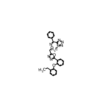 CCc1ccccc1Oc1ccccc1-c1nnc(CO/N=C(/c2ccccc2)c2nnnn2C)o1